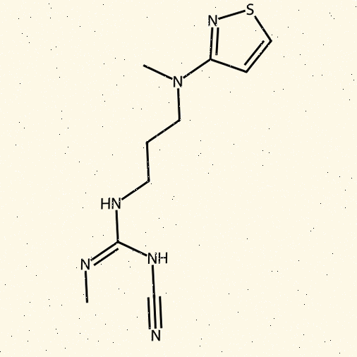 C/N=C(\NC#N)NCCCN(C)c1ccsn1